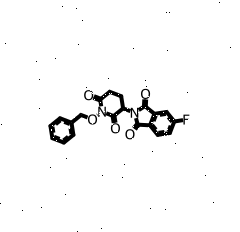 O=C1CCC(N2C(=O)c3ccc(F)cc3C2=O)C(=O)N1OCc1ccccc1